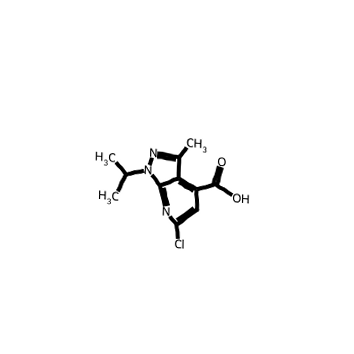 Cc1nn(C(C)C)c2nc(Cl)cc(C(=O)O)c12